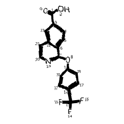 O=C(O)c1ccc2c(Oc3ccc(C(F)(F)F)cc3)nccc2c1